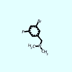 CN(C)Cc1cc(F)cc(Br)c1